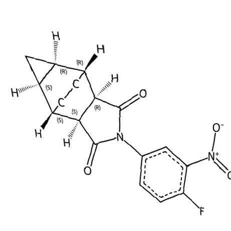 O=C1[C@@H]2[C@@H]3CC[C@@H]([C@H]4C[C@H]43)[C@@H]2C(=O)N1c1ccc(F)c([N+](=O)[O-])c1